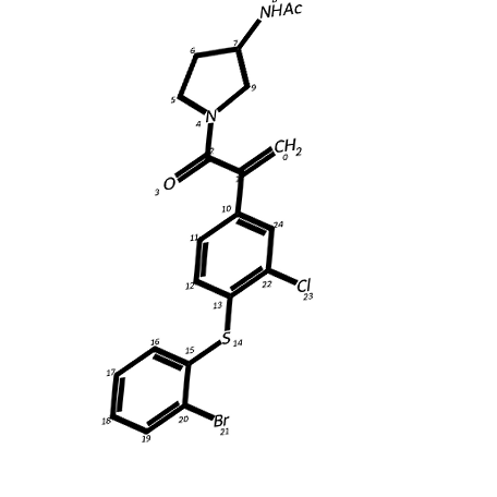 C=C(C(=O)N1CCC(NC(C)=O)C1)c1ccc(Sc2ccccc2Br)c(Cl)c1